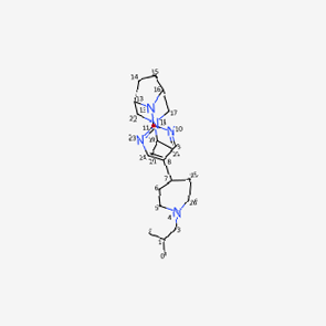 CC(C)CN1CCC(c2cnc(N3C4CCC3CN(C(C)C)C4)nc2)CC1